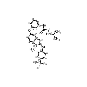 CC(C)NCC(=O)Nc1cc(Oc2ccc3c(c2)nc(Nc2ccc(C(F)(F)F)cc2)n3C)ccn1